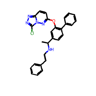 CC(NCCc1ccccc1)c1ccc(-c2ccccc2)c(Oc2ccc3nnc(Cl)n3n2)c1